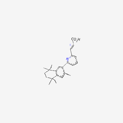 Cc1cc2c(cc1-c1cccc(/C=C/C(=O)O)n1)C(C)(C)CCC2(C)C